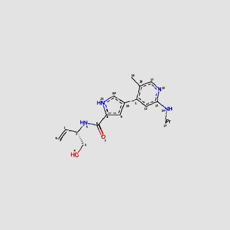 C=C[C@@H](CO)NC(=O)c1cc(-c2cc(NC(C)C)ncc2C)c[nH]1